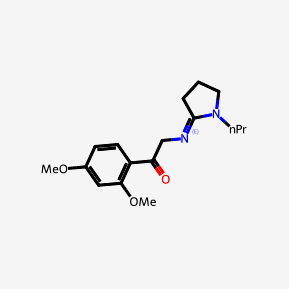 CCCN1CCC/C1=N\CC(=O)c1ccc(OC)cc1OC